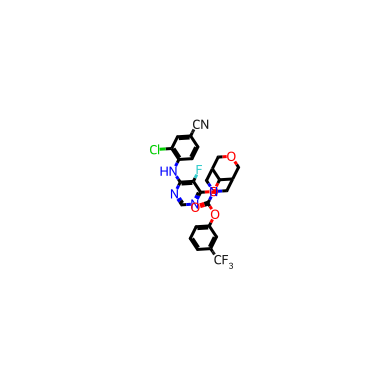 N#Cc1ccc(Nc2ncnc(OC3C4COCC3CN(C(=O)Oc3cccc(C(F)(F)F)c3)C4)c2F)c(Cl)c1